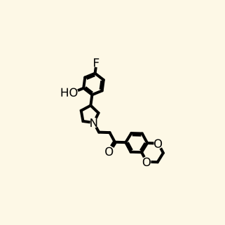 O=C(CCN1CCC(c2ccc(F)cc2O)C1)c1ccc2c(c1)OCCO2